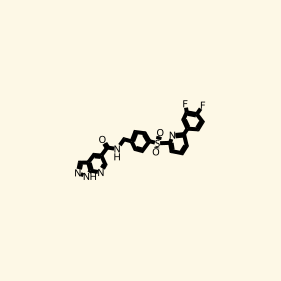 O=C(NCc1ccc(S(=O)(=O)c2cccc(-c3ccc(F)c(F)c3)n2)cc1)c1cnc2[nH]ncc2c1